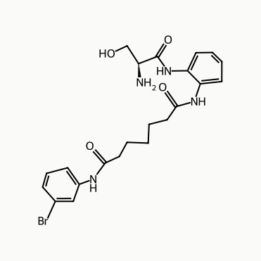 N[C@@H](CO)C(=O)Nc1ccccc1NC(=O)CCCCCC(=O)Nc1cccc(Br)c1